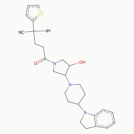 CC(C)C(C#N)(CCC(=O)N1CC(O)C(N2CCC(N3CCc4ccccc43)CC2)C1)c1cccs1